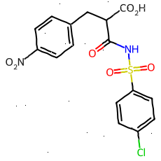 O=C(O)C(Cc1ccc([N+](=O)[O-])cc1)C(=O)NS(=O)(=O)c1ccc(Cl)cc1